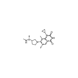 CN[C@@H](C)C1CCN(c2c(F)cc3c(=O)[nH]c(=O)n(C4CC4)c3c2C)C1